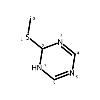 [CH2]SC1N=CN=CN1